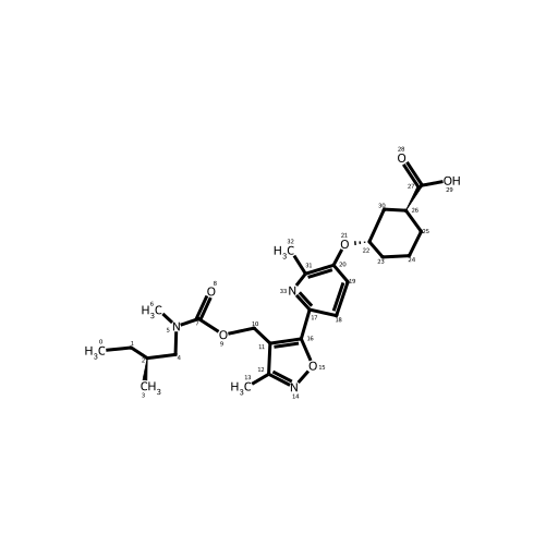 CC[C@H](C)CN(C)C(=O)OCc1c(C)noc1-c1ccc(O[C@H]2CCC[C@H](C(=O)O)C2)c(C)n1